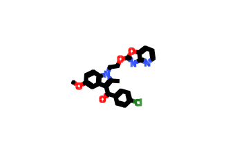 COc1ccc2c(c1)c(C(=O)c1ccc(Cl)cc1)c(C)n2CCOc1nc2ncccc2o1